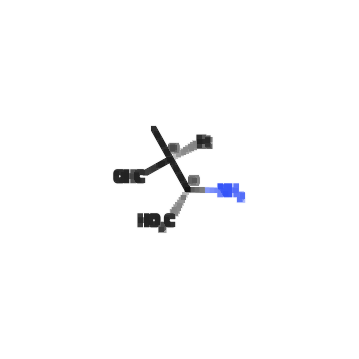 CC[C@@](C)(C=O)[C@H](N)C(=O)O